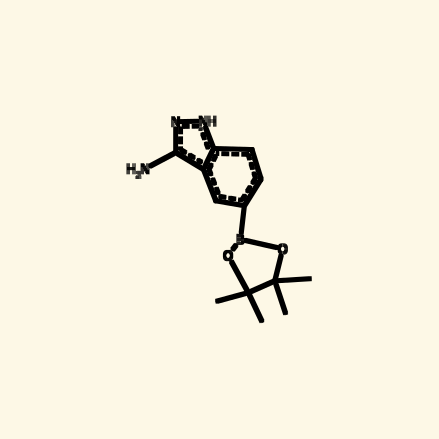 CC1(C)OB(c2ccc3[nH]nc(N)c3c2)OC1(C)C